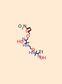 CCC(=NO)C(C)(C)NOCCNC(C)(C)C(COCc1ccc([N+](=O)[O-])o1)=NO